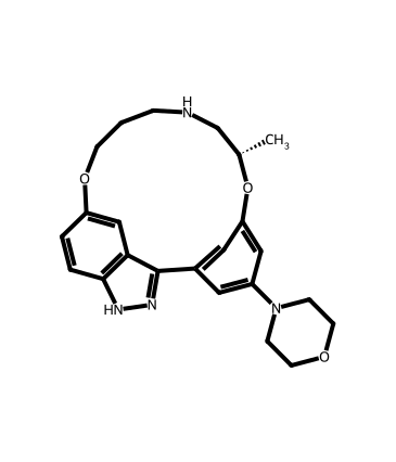 C[C@H]1CNCCCOc2ccc3[nH]nc(c3c2)-c2cc(cc(N3CCOCC3)c2)O1